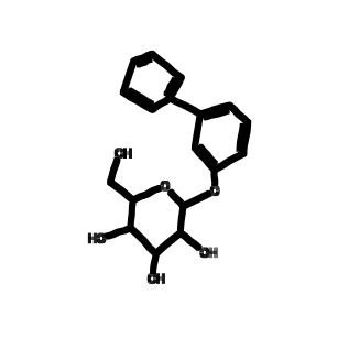 OCC1OC(Oc2cccc(-c3ccccc3)c2)C(O)C(O)C1O